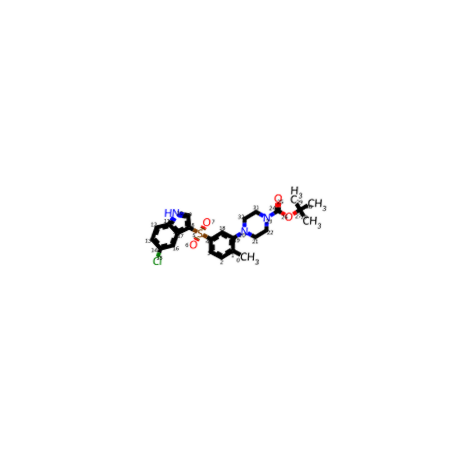 Cc1ccc(S(=O)(=O)c2c[nH]c3ccc(Cl)cc23)cc1N1CCN(C(=O)OC(C)(C)C)CC1